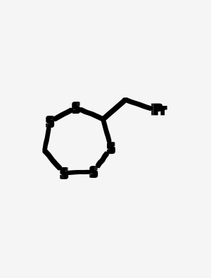 CC(C)CC1SSCSSS1